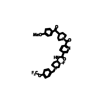 COc1ccc(C(=O)C2CCN(C(=O)c3ccc(C(=O)N[C@@H]4CCN(Cc5ccc(OC(F)(F)F)cc5)C[C@H]4F)cn3)CC2)cc1